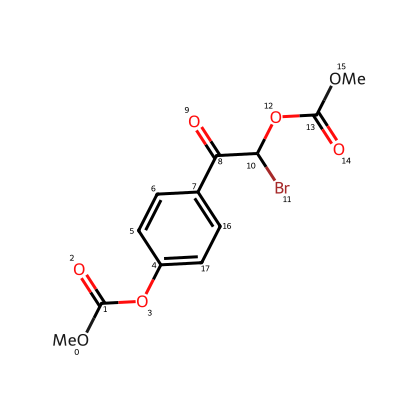 COC(=O)Oc1ccc(C(=O)C(Br)OC(=O)OC)cc1